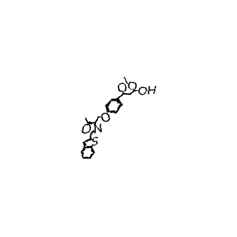 CCOC(CC(=O)O)c1ccc(OCc2nc(-c3cc4ccccc4s3)oc2C)cc1